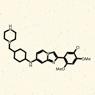 COc1cc(OC)c(-c2cn3ccc(NC4CCC(CN5CCNCC5)CC4)cc3n2)cc1Cl